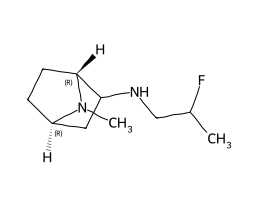 CC(F)CNC1C[C@H]2CC[C@H]1N2C